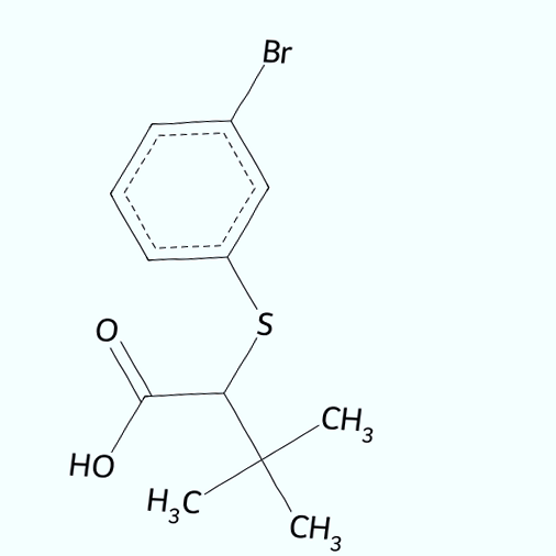 CC(C)(C)C(Sc1cccc(Br)c1)C(=O)O